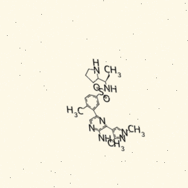 CC[C@@H](NS(=O)(=O)c1ccc(C)c(-c2cnc(N)c(-c3cn(C)nc3C)n2)c1)C1CCCN1